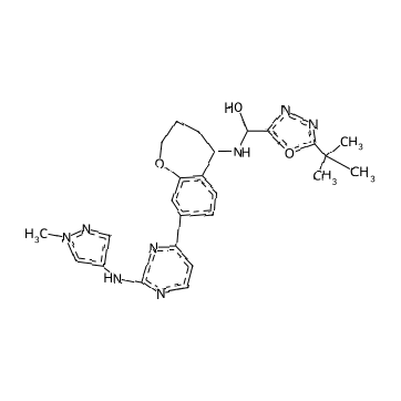 Cn1cc(Nc2nccc(-c3ccc4c(c3)OCCCC4NC(O)c3nnc(C(C)(C)C)o3)n2)cn1